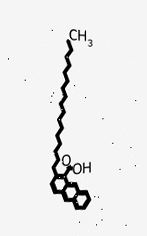 CCCCCCCCCCCCCCCCCCc1ccc2cc3ccccc3cc2c1C(=O)O